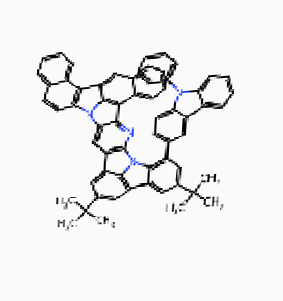 CC(C)(C)c1cc(-c2ccc3c(c2)c2ccccc2n3-c2ccccc2)c2c(c1)c1cc(C(C)(C)C)cc3c4cc5c(nc4n2c31)c1c2ccccc2cc2c3c4ccccc4ccc3n5c21